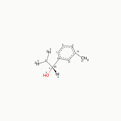 [2H]C([2H])[C@@]([2H])(O)c1cccc(C)c1